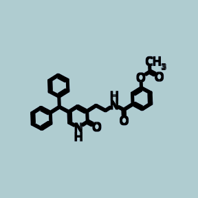 CC(=O)Oc1cccc(C(=O)NCCc2cc(C(c3ccccc3)c3ccccc3)c[nH]c2=O)c1